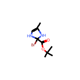 CC1=CNC(Br)(C(=O)OC(C)(C)C)N1